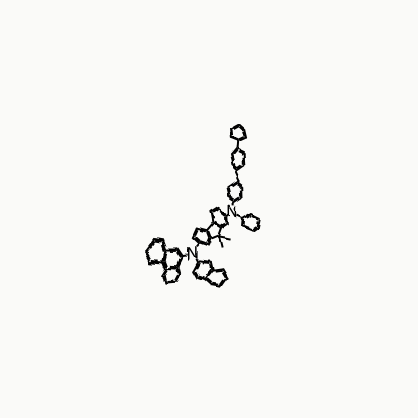 CC1(C)c2cc(N(c3ccccc3)c3ccc(-c4ccc(-c5ccccc5)cc4)cc3)ccc2-c2ccc(N(c3ccc4ccccc4c3)c3cc4ccccc4c4ccccc34)cc21